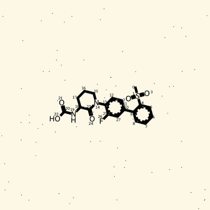 CS(=O)(=O)c1ccccc1-c1ccc(N2CCCC(NC(=O)O)C2=O)c(F)c1